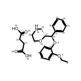 CCOc1ccccc1O[C@H](c1ccccc1)[C@H]1CNCCO1.O=C(O)CCC(=O)O